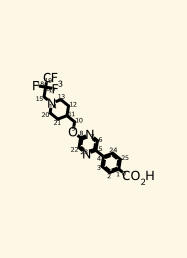 O=C(O)c1ccc(-c2cnc(OCC3CCN(CC(F)(F)C(F)(F)F)CC3)cn2)cc1